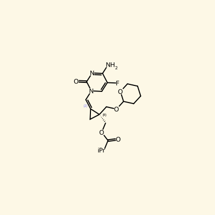 CC(C)C(=O)OC[C@]1(COC2CCCCO2)C/C1=C/n1cc(F)c(N)nc1=O